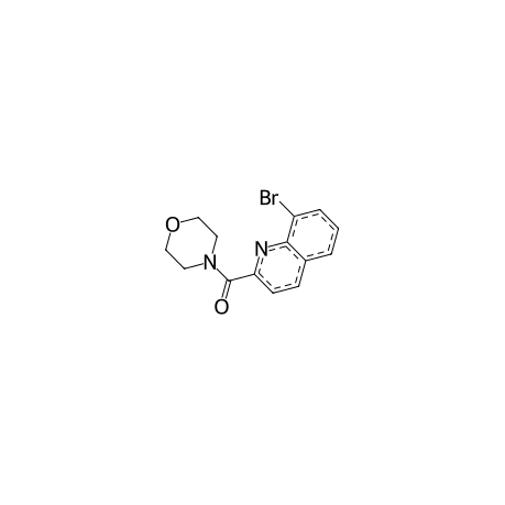 O=C(c1ccc2cccc(Br)c2n1)N1CCOCC1